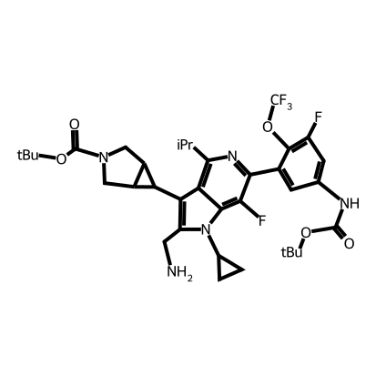 CC(C)c1nc(-c2cc(NC(=O)OC(C)(C)C)cc(F)c2OC(F)(F)F)c(F)c2c1c(C1C3CN(C(=O)OC(C)(C)C)CC31)c(CN)n2C1CC1